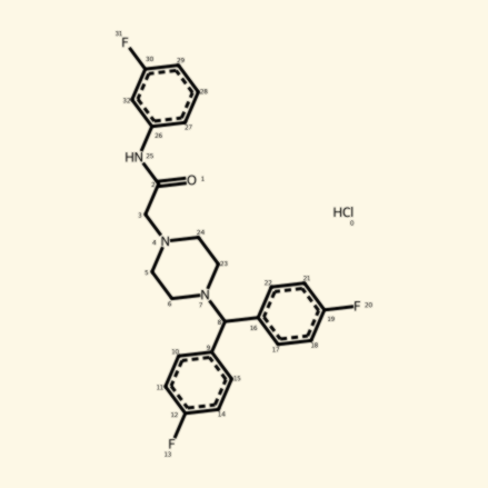 Cl.O=C(CN1CCN(C(c2ccc(F)cc2)c2ccc(F)cc2)CC1)Nc1cccc(F)c1